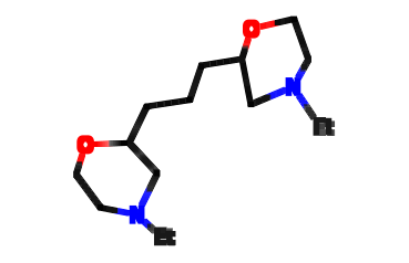 CCN1CCOC(CCCC2CN(CC)CCO2)C1